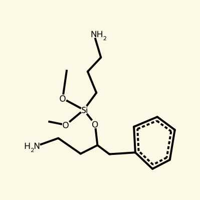 CO[Si](CCCN)(OC)OC(CCN)Cc1ccccc1